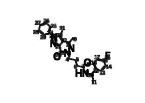 Cc1nn(CCCC(=O)NC(C)c2ccc(F)cc2)c(=O)c2nn(-c3ccccc3)c(C)c12